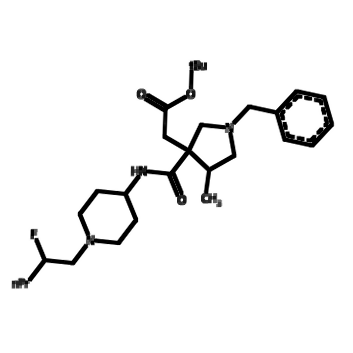 CCCC(F)CN1CCC(NC(=O)C2(CC(=O)OC(C)(C)C)CN(Cc3ccccc3)CC2C)CC1